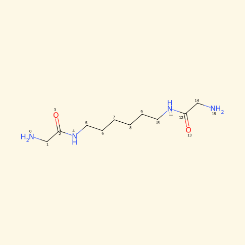 NCC(=O)NCCCCCCNC(=O)CN